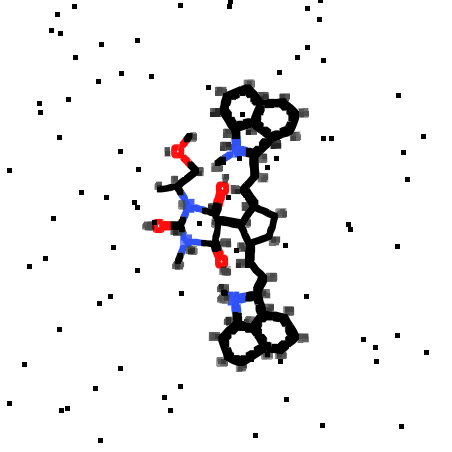 COCC(C)N1C(=O)C(=C2/C(=C/C=c3/c4cccc5cccc(c54)n3C)CC/C2=C\C=c2\c3cccc4cccc(c43)n2C)C(=O)N(C)C1=O